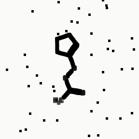 CC(=O)OOC1=CCCC1